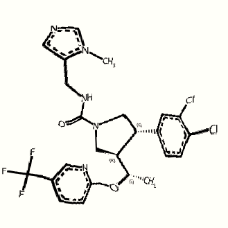 C[C@H](Oc1ccc(C(F)(F)F)cn1)[C@H]1CN(C(=O)NCc2cncn2C)C[C@@H]1c1ccc(Cl)c(Cl)c1